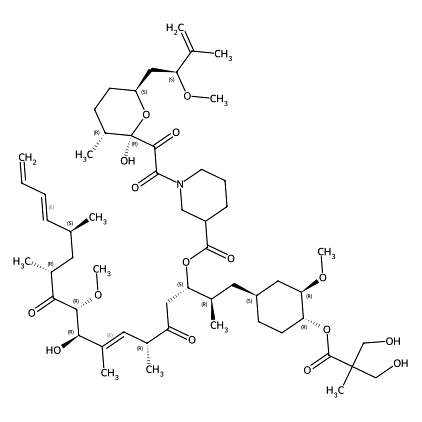 C=C/C=C/[C@@H](C)C[C@@H](C)C(=O)[C@H](OC)[C@H](O)/C(C)=C/[C@@H](C)C(=O)C[C@H](OC(=O)C1CCCN(C(=O)C(=O)[C@]2(O)O[C@H](C[C@H](OC)C(=C)C)CC[C@H]2C)C1)[C@H](C)C[C@@H]1CC[C@@H](OC(=O)C(C)(CO)CO)[C@H](OC)C1